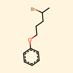 CC(Br)CCCOc1ccccc1